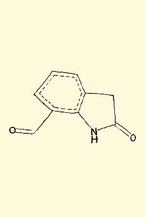 O=Cc1cccc2c1NC(=O)C2